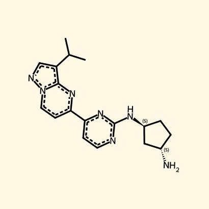 CC(C)c1cnn2ccc(-c3ccnc(N[C@H]4CC[C@H](N)C4)n3)nc12